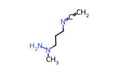 C=C=NCCCN(C)N